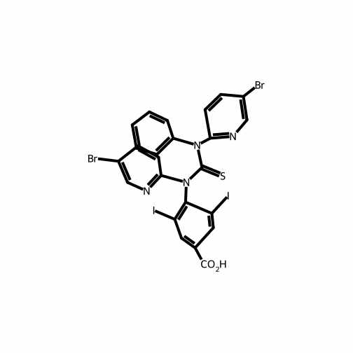 O=C(O)c1cc(I)c(N(C(=S)N(c2ccccc2)c2ccc(Br)cn2)c2ccc(Br)cn2)c(I)c1